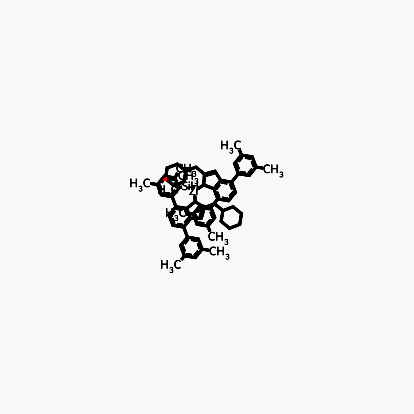 Cc1cc(C)cc(-c2ccc(-c3cc(C)cc(C)c3)c3c2C=C(CC2CCCCC2)[CH]3[Zr]([CH]2C(CC3CCCCC3)=Cc3c(-c4cc(C)cc(C)c4)ccc(-c4cc(C)cc(C)c4)c32)[SiH](C)C)c1